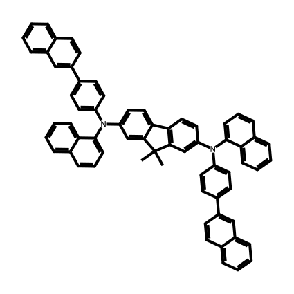 CC1(C)c2cc(N(c3ccc(-c4ccc5ccccc5c4)cc3)c3cccc4ccccc34)ccc2-c2ccc(N(c3ccc(-c4ccc5ccccc5c4)cc3)c3cccc4ccccc34)cc21